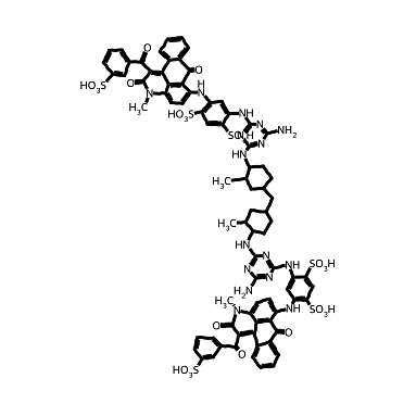 CC1CC(CC2CCC(Nc3nc(N)nc(Nc4cc(Nc5ccc6c7c5C(=O)c5ccccc5-c7c(C(=O)c5cccc(S(=O)(=O)O)c5)c(=O)n6C)c(S(=O)(=O)O)cc4S(=O)(=O)O)n3)C(C)C2)CCC1Nc1nc(N)nc(Nc2cc(Nc3ccc4c5c3C(=O)c3ccccc3-c5c(C(=O)c3cccc(S(=O)(=O)O)c3)c(=O)n4C)c(S(=O)(=O)O)cc2S(=O)(=O)O)n1